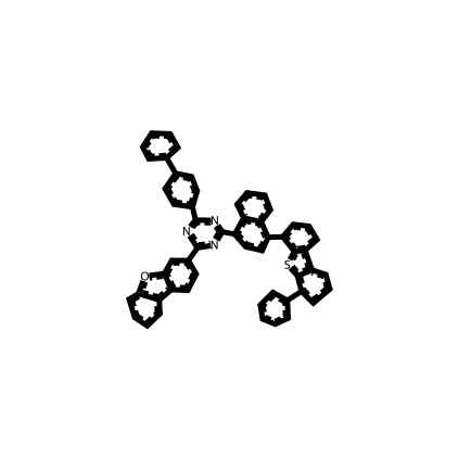 c1ccc(-c2ccc(-c3nc(-c4ccc5c(c4)oc4ccccc45)nc(-c4ccc(-c5cccc6c5sc5c(-c7ccccc7)cccc56)c5ccccc45)n3)cc2)cc1